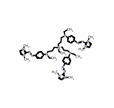 CCN(CCC[N+](CC)(CCCN(CC)c1ccc(/N=N/c2n(C)cc[n+]2C)cc1)CCCN(CC)c1ccc(/N=N/c2n(C)cc[n+]2C)cc1)c1ccc(/N=N/c2n(C)cc[n+]2C)cc1